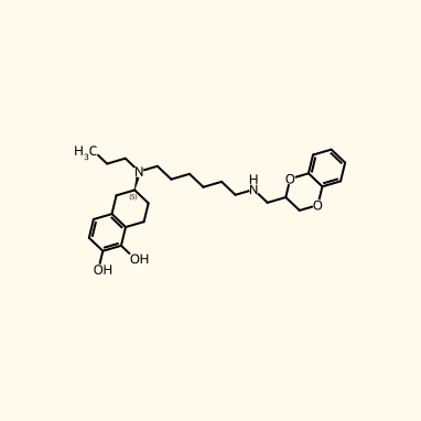 CCCN(CCCCCCNCC1COc2ccccc2O1)[C@H]1CCc2c(ccc(O)c2O)C1